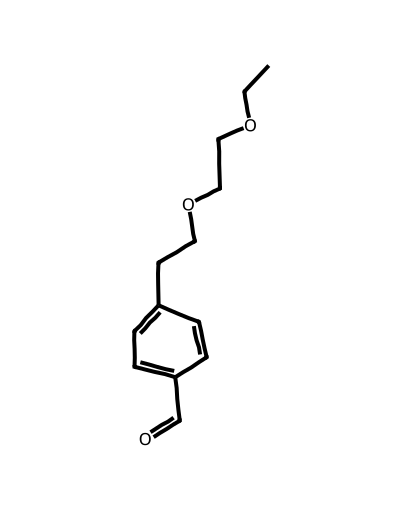 CCOCCOCCc1ccc(C=O)cc1